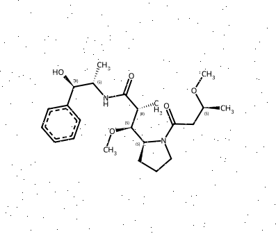 CO[C@@H]([C@@H](C)C(=O)N[C@@H](C)[C@H](O)c1ccccc1)[C@@H]1CCCN1C(=O)C[C@H](C)OC